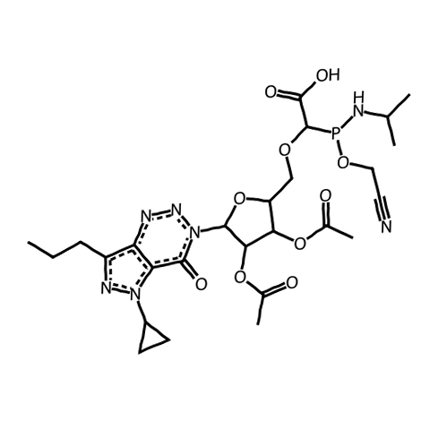 CCCc1nn(C2CC2)c2c(=O)n(C3OC(COC(C(=O)O)P(NC(C)C)OCC#N)C(OC(C)=O)C3OC(C)=O)nnc12